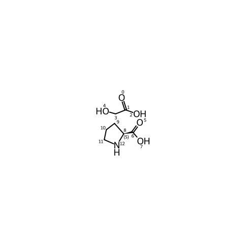 O=C(O)CO.O=C(O)[C@@H]1CCCN1